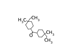 CCC1(C)CCC(C(=O)C2CCC(C)(CC)CC2)CC1